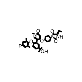 C/C=C1\NC(=O)N([C@H]2CC[C@H](Oc3cc(=O)n(C)cc3-c3cc(C(C)(C)O)ccc3Oc3c(C)cc(F)cc3C)CC2)C1=O